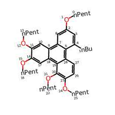 CCCCCOc1cc(CCCC)c2c(c1)c1cc(OCCCCC)c(OCCCCC)cc1c1c(OCCCCC)c(OCCCCC)ccc21